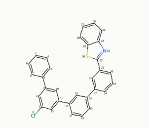 Clc1cc(-c2ccccc2)cc(-c2cccc(-c3cccc(-c4nc5ccccc5s4)c3)c2)c1